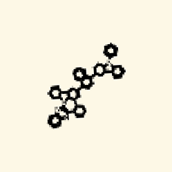 c1ccc(-n2c3ccccc3c3cc(-c4ccc(-c5cc6c7c(c5)c5ccccc5n7-c5nc7ccccc7nc5-c5ccccc5-6)c5ccccc45)ccc32)cc1